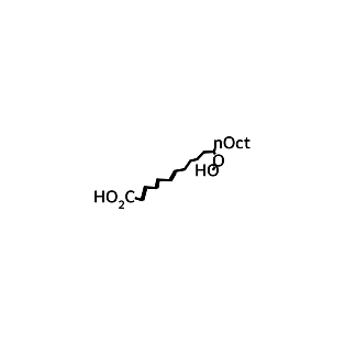 CCCCCCCCC(CCCCC=CC=CC=CC(=O)O)OO